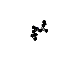 C=Cc1c(/C=C\Cc2cccc(-c3nc(-c4ccccc4)nc(-c4ccc5c(c4)C(C)(C)c4ccccc4-5)n3)c2)c2ccccc2n1-c1cccc(-c2cccc3c2c2ccccc2n3-c2ccccc2)c1